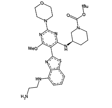 COc1nc(N2CCOCC2)nc(N[C@@H]2CCCN(C(=O)OC(C)(C)C)C2)c1-c1nc2c(NCCN)cccc2s1